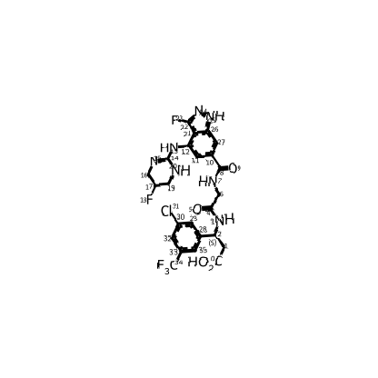 O=C(O)C[C@H](NC(=O)CNC(=O)c1cc(NC2=NCC(F)CN2)c2c(F)n[nH]c2c1)c1cc(Cl)cc(C(F)(F)F)c1